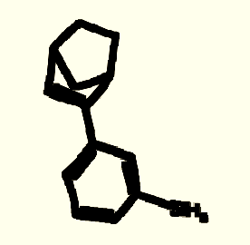 [SiH3]c1cccc(C2=CC3CCC2C3)c1